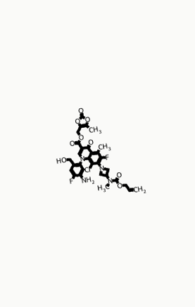 C=CCOC(=O)N(C)C1CN(c2c(F)c(C)c3c(=O)c(C(=O)OCc4oc(=O)oc4C)cn(-c4cc(N)c(F)cc4CO)c3c2Cl)C1